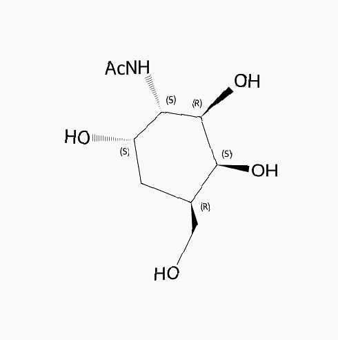 CC(=O)N[C@@H]1[C@@H](O)[C@@H](O)[C@@H](CO)C[C@@H]1O